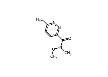 CON(C)C(=O)c1ccc(C)nn1